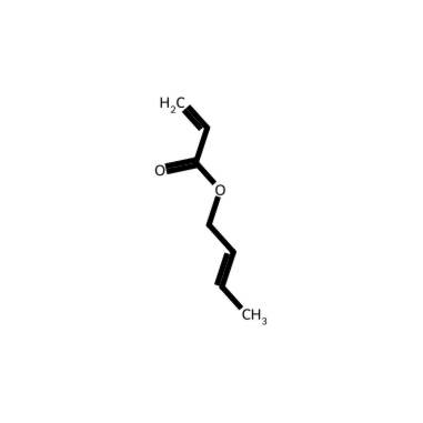 C=CC(=O)OCC=CC